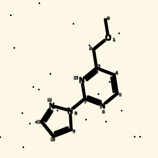 COCc1ccnc(-n2cccn2)n1